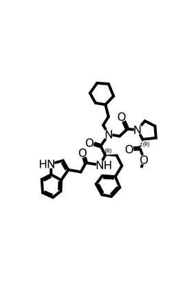 COC(=O)[C@H]1CCCN1C(=O)CN(CCC1CCCCC1)C(=O)[C@@H](CCc1ccccc1)NC(=O)Cc1c[nH]c2ccccc12